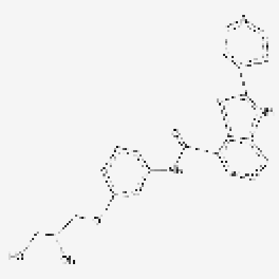 O=C(Nc1cccc(OC[C@H](O)CO)c1)c1cccc2[nH]c(-c3ccncc3)nc12